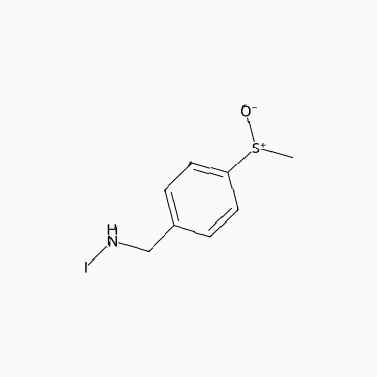 C[S+]([O-])c1ccc(CNI)cc1